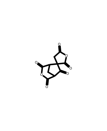 O=C1CC2(C(=O)O1)C(=O)C1CC2C(=O)OC1=O